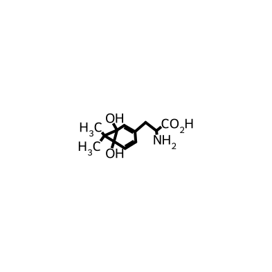 CC1(C)C2(O)C=CC(CC(N)C(=O)O)=CC12O